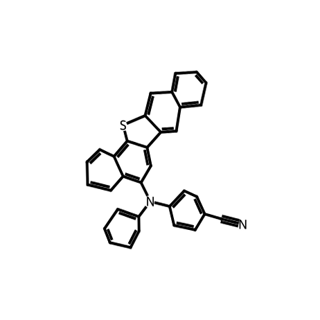 N#Cc1ccc(N(c2ccccc2)c2cc3c4cc5ccccc5cc4sc3c3ccccc23)cc1